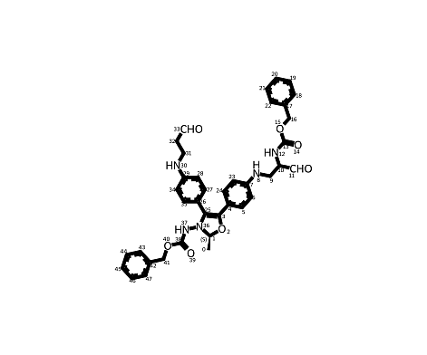 C[C@@H]1OC(c2ccc(NCC(C=O)NC(=O)OCc3ccccc3)cc2)=C(c2ccc(NCCC=O)cc2)N1NC(=O)OCc1ccccc1